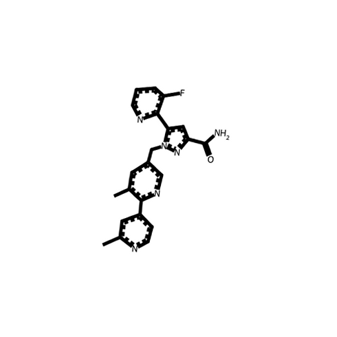 Cc1cc(-c2ncc(Cn3nc(C(N)=O)cc3-c3ncccc3F)cc2C)ccn1